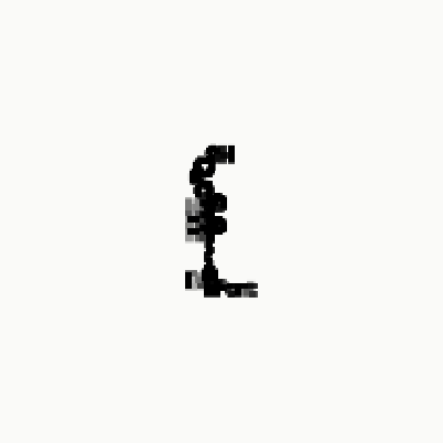 CCCCCC(CC)OCCCCCCNC(=O)NCNC(=O)c1ccc(Oc2ccc(O)cc2)cc1